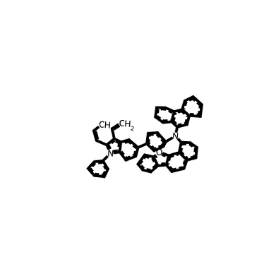 C=Cc1c(/C=C\C)n(-c2ccccc2)c2ccc(-c3ccc(N(c4cc5ccccc5c5ccccc45)c4cccc5ccc6c7ccccc7oc6c45)cc3)cc12